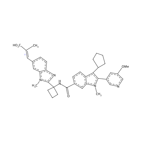 COc1cncc(-c2c(C3CCCC3)c3ccc(C(=O)NC4(c5nc6ccc(/C=C(\C)C(=O)O)cc6n5C)CCC4)cc3n2C)c1